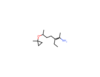 CC/C(CCC(C)OC1(C)CC1)=C(/C)N